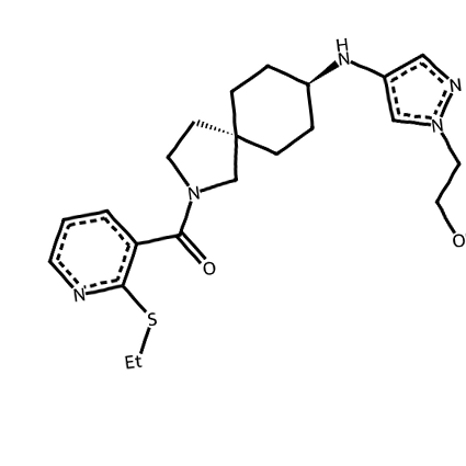 CCSc1ncccc1C(=O)N1CC[C@]2(CC[C@H](Nc3cnn(CCO)c3)CC2)C1